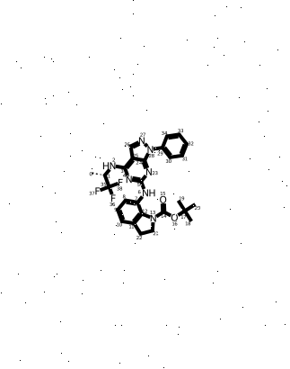 C[C@H](Nc1nc(Nc2cccc3c2N(C(=O)OC(C)(C)C)CC3)nc2c1cnn2-c1ccccc1)C(F)(F)F